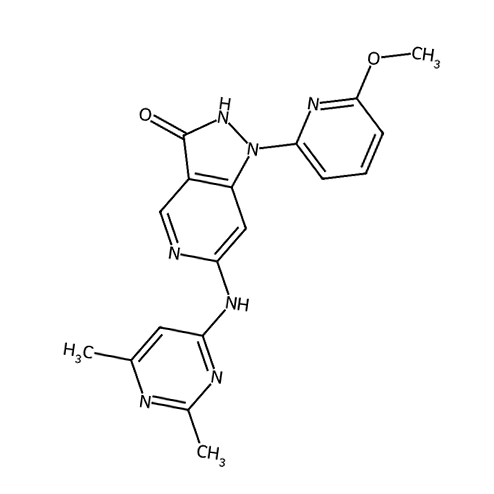 COc1cccc(-n2[nH]c(=O)c3cnc(Nc4cc(C)nc(C)n4)cc32)n1